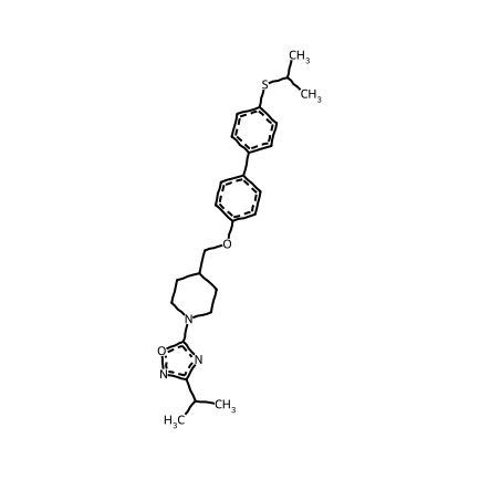 CC(C)Sc1ccc(-c2ccc(OCC3CCN(c4nc(C(C)C)no4)CC3)cc2)cc1